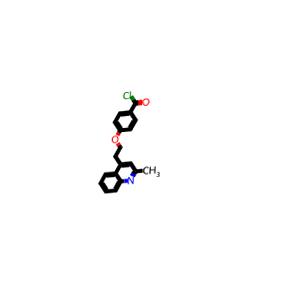 Cc1cc(CCOc2ccc(C(=O)Cl)cc2)c2ccccc2n1